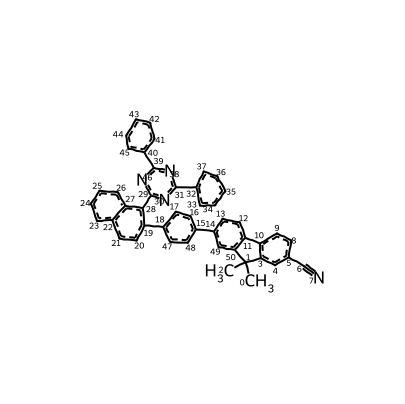 CC1(C)c2cc(C#N)ccc2-c2ccc(-c3ccc(-c4ccc5ccccc5c4-c4nc(-c5ccccc5)nc(-c5ccccc5)n4)cc3)cc21